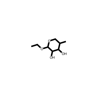 CCOC1OCC(C)C(O)C1O